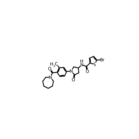 Cc1cc(N2CC(NC(=O)c3ccc(Br)s3)CC2=O)ccc1C(=O)N1CCCCCC1